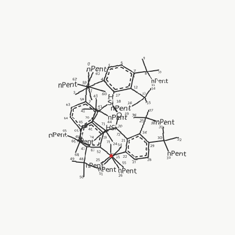 CCCCCC(C)(C)c1ccc(C(C)(C)CCCCC)c(C(C)(C)CCCCC)c1[SiH](O[SiH](c1c(C(C)(C)CCCCC)ccc(C(C)(C)CCCCC)c1C(C)(C)CCCCC)c1c(C(C)(C)CCCCC)ccc(C(C)(C)CCCCC)c1C(C)(C)CCCCC)c1c(C(C)(C)CCCCC)ccc(C(C)(C)CCCCC)c1C(C)(C)CCCCC